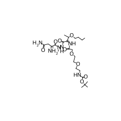 CCCCOC(C)[C@@H](NC(=O)COCCOCCNC(=O)OC(C)(C)C)C(=O)NN(C)C(=O)[C@H](N)CC(N)=O